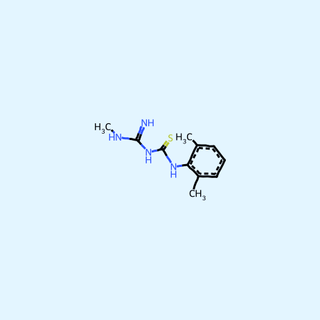 CNC(=N)NC(=S)Nc1c(C)cccc1C